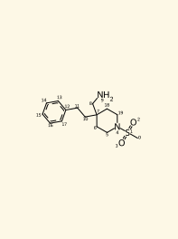 CS(=O)(=O)N1CCC(CN)(CCc2ccccc2)CC1